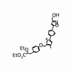 CCOC(=O)[C@H](Cc1ccc(OCc2sc(-c3ccc(-c4cc(CO)no4)cc3)cc2C)cc1)OCC